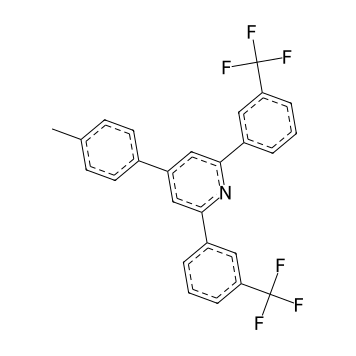 Cc1ccc(-c2cc(-c3cccc(C(F)(F)F)c3)nc(-c3cccc(C(F)(F)F)c3)c2)cc1